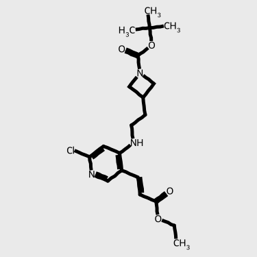 CCOC(=O)/C=C/c1cnc(Cl)cc1NCCC1CN(C(=O)OC(C)(C)C)C1